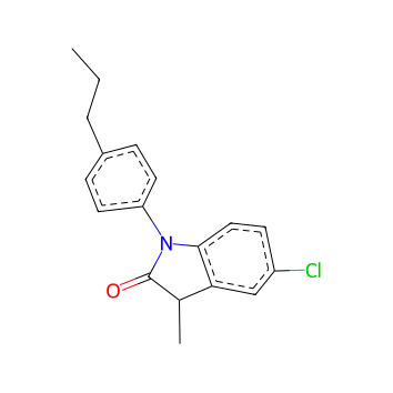 CCCc1ccc(N2C(=O)C(C)c3cc(Cl)ccc32)cc1